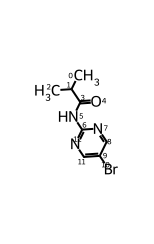 CC(C)C(=O)Nc1ncc(Br)cn1